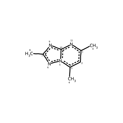 Cc1cc(C)n2nc(C)nc2n1